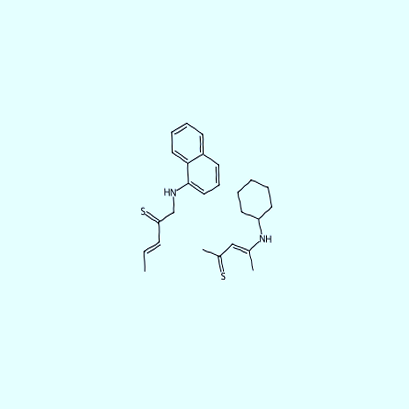 CC(=S)C=C(C)NC1CCCCC1.CC=CC(=S)CNc1cccc2ccccc12